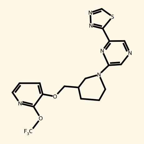 FC(F)(F)Oc1ncccc1OCC1CCCN(c2cncc(-c3nncs3)n2)C1